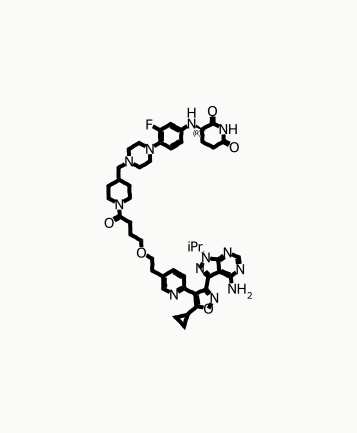 CC(C)n1nc(-c2noc(C3CC3)c2-c2ccc(CCOCCCC(=O)N3CCC(CN4CCN(c5ccc(N[C@@H]6CCC(=O)NC6=O)cc5F)CC4)CC3)cn2)c2c(N)ncnc21